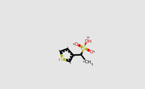 CC(c1ccsc1)S(=O)(=O)O